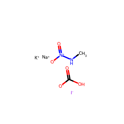 CN[N+](=O)[O-].O=C([O-])O.[I-].[K+].[Na+]